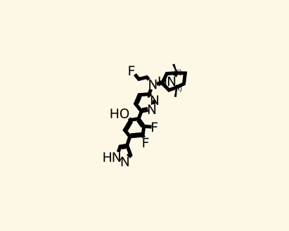 C[C@]12CC[C@](C)(CC(N(CCF)c3ccc(-c4c(O)cc(-c5cn[nH]c5)c(F)c4F)nn3)C1)N2